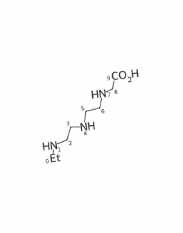 CCNCCNCCNCC(=O)O